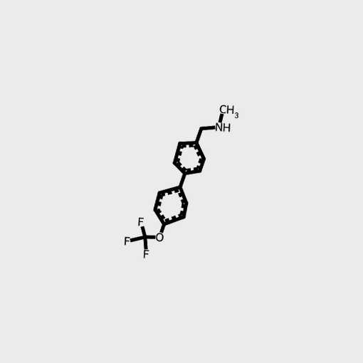 CNCc1ccc(-c2ccc(OC(F)(F)F)cc2)cc1